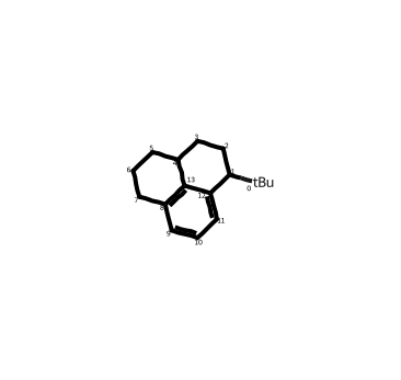 CC(C)(C)C1CCC2CCCc3cccc1c32